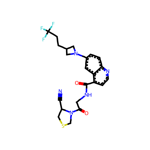 N#CC1CSCN1C(=O)CNC(=O)c1ccnc2ccc(N3CC(CCC(F)(F)F)C3)cc12